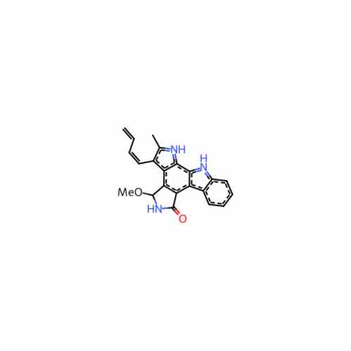 C=C/C=C\c1c(C)[nH]c2c1c1c(c3c4ccccc4[nH]c23)C(=O)NC1OC